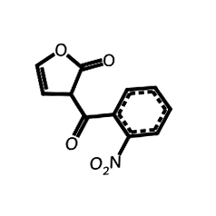 O=C1OC=CC1C(=O)c1ccccc1[N+](=O)[O-]